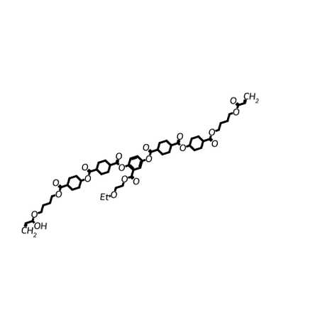 C=CC(=O)OCCCCOC(=O)C1CCC(OC(=O)C2CCC(C(=O)Oc3ccc(OC(=O)C4CCC(C(=O)OC5CCC(C(=O)OCCCCOC(O)C=C)CC5)CC4)c(C(=O)OCCOCC)c3)CC2)CC1